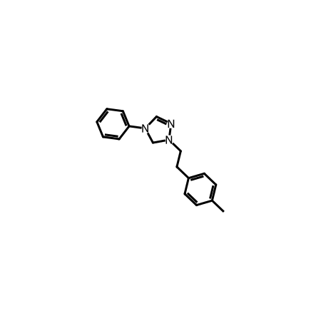 Cc1ccc(CCN2CN(c3ccccc3)C=N2)cc1